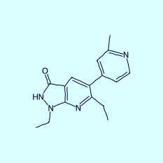 CCc1nc2c(cc1-c1ccnc(C)c1)c(=O)[nH]n2CC